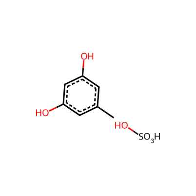 Cc1cc(O)cc(O)c1.O=S(=O)(O)O